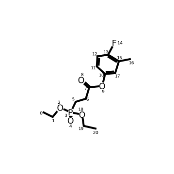 CCOP(=O)(CCC(=O)Oc1ccc(F)c(C)c1)OCC